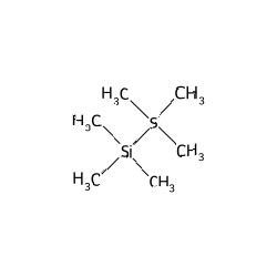 C[Si](C)(C)S(C)(C)C